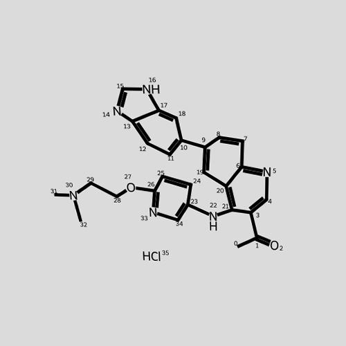 CC(=O)c1cnc2ccc(-c3ccc4nc[nH]c4c3)cc2c1Nc1ccc(OCCN(C)C)nc1.Cl